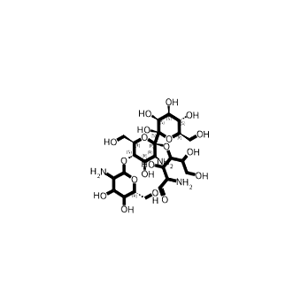 NC(C=O)C(O)C(O[C@]1([C@@]2(O)O[C@H](CO)[C@@H](O)[C@H](O)[C@@H]2O)O[C@H](CO)[C@@H](OC2O[C@H](CO)C(O)C(O)C2N)[C@H](O)[C@H]1N)C(O)CO